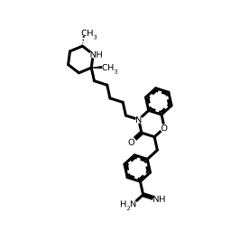 C[C@H]1CCC[C@@](C)(CCCCCN2C(=O)C(Cc3cccc(C(=N)N)c3)Oc3ccccc32)N1